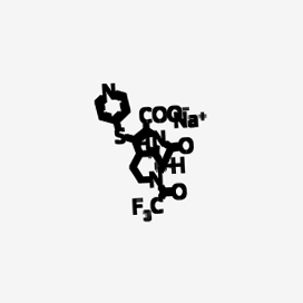 O=C([O-])C1=C(Sc2ccncc2)C2CCN(C(=O)C(F)(F)F)[C@@H]3C(=O)N1[C@H]23.[Na+]